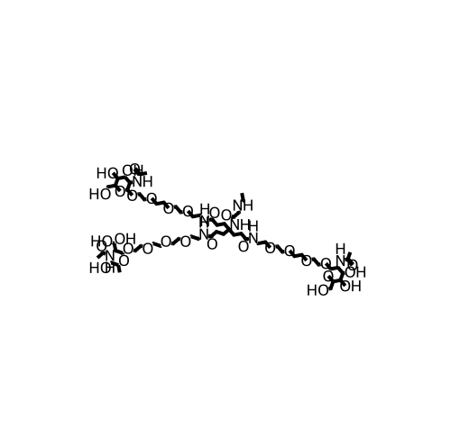 CCNCC(=O)NC(CCC(=O)NCCOCCOCCOCCOC(OC(C)CO)C(NC(C)=O)C(O)O)(CCC(=O)NCCOCCOCCOCCOC1OC(CO)C(O)C(O)C1NC(C)=O)CCC(=O)NCCOCCOCCOCCOC1OC(CO)C(O)C(O)C1NC(C)=O